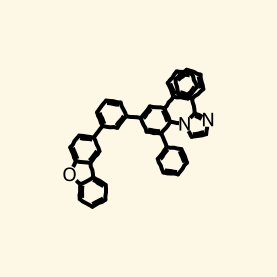 c1ccc(-c2cc(-c3cccc(-c4ccc5oc6ccccc6c5c4)c3)cc(-c3ccccc3)c2-n2ccnc2-c2ccccc2)cc1